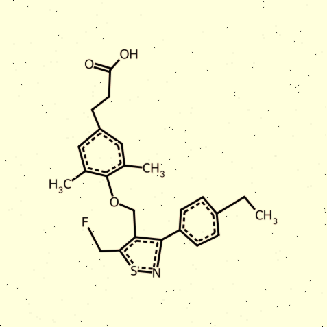 CCc1ccc(-c2nsc(CF)c2COc2c(C)cc(CCC(=O)O)cc2C)cc1